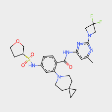 Cc1cc(NC(=O)c2ccc(NS(=O)(=O)[C@H]3CCOC3)cc2N2CCC3(CC2)CC3)nc(N2CC(F)(F)C2)n1